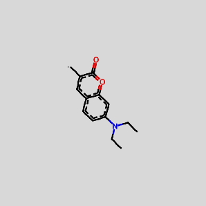 [CH2]c1cc2ccc(N(CC)CC)cc2oc1=O